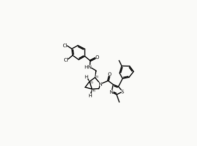 Cc1cccc(-c2sc(C)nc2C(=O)N2C[C@@H]3C[C@@H]3[C@H]2CNC(=O)c2ccc(Cl)c(Cl)c2)c1